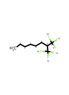 [CH2]CCCCCC(C(F)(F)F)C(F)(F)F